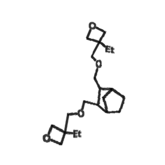 CCC1(COCC2C3CCC(C3)C2COCC2(CC)COC2)COC1